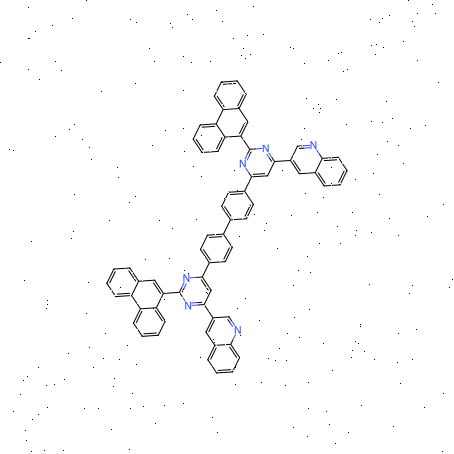 c1ccc2ncc(-c3cc(-c4ccc(-c5ccc(-c6cc(-c7cnc8ccccc8c7)nc(-c7cc8ccccc8c8ccccc78)n6)cc5)cc4)nc(-c4cc5ccccc5c5ccccc45)n3)cc2c1